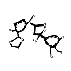 CCN(C1=NOC(c2cc(Cl)c(F)c(Cl)c2)(C(F)(F)F)C1)c1ccc(F)c(C2OCCO2)c1